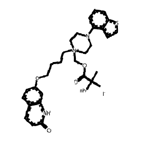 CCCC(C)(C)C(=O)OC[N+]1(CCCCOc2ccc3ccc(=O)[nH]c3c2)CCN(c2cccc3sccc23)CC1.[I-]